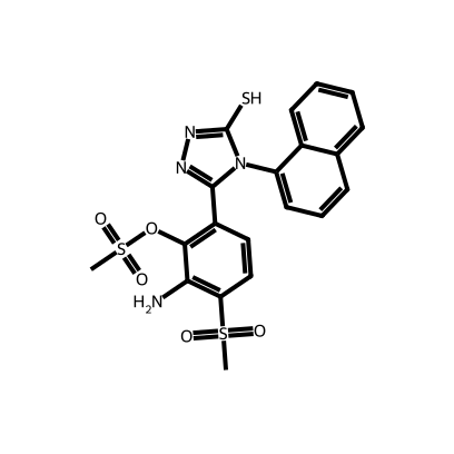 CS(=O)(=O)Oc1c(-c2nnc(S)n2-c2cccc3ccccc23)ccc(S(C)(=O)=O)c1N